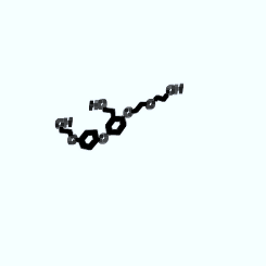 OCCOCCOc1ccc(Oc2ccc(OCCO)cc2)cc1CCO